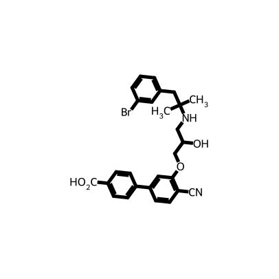 CC(C)(Cc1cccc(Br)c1)NCC(O)COc1cc(-c2ccc(C(=O)O)cc2)ccc1C#N